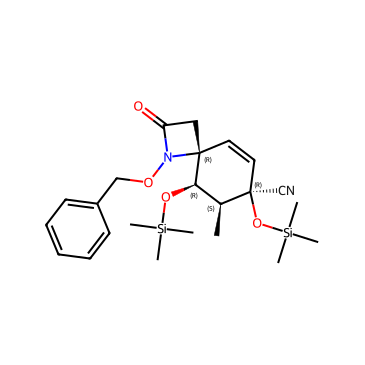 C[C@H]1[C@@H](O[Si](C)(C)C)[C@]2(C=C[C@@]1(C#N)O[Si](C)(C)C)CC(=O)N2OCc1ccccc1